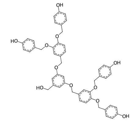 OCc1cc(OCc2ccc(OCc3ccc(O)cc3)c(OCc3ccc(O)cc3)c2)cc(OCc2ccc(OCc3ccc(O)cc3)c(OCc3ccc(O)cc3)c2)c1